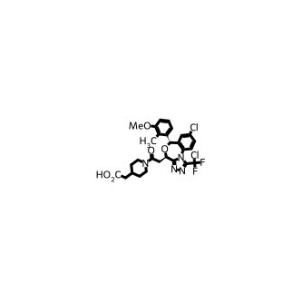 COc1cccc([C@H]2O[C@H](CC(=O)N3CCC(CC(=O)O)CC3)c3nnc(C(F)(F)Cl)n3-c3ccc(Cl)cc32)c1C